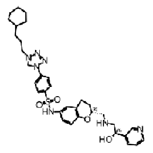 O=S(=O)(Nc1ccc2c(c1)CC[C@H](CNC[C@H](O)c1cccnc1)O2)c1ccc(N2CN(CCCC3CCCCC3)N=N2)cc1